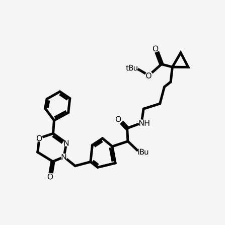 CCC(C)C(C(=O)NCCCCC1(C(=O)OC(C)(C)C)CC1)c1ccc(CN2N=C(c3ccccc3)OCC2=O)cc1